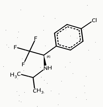 CC(C)N[C@H](c1ccc(Cl)cc1)C(F)(F)F